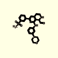 CS(=O)(=O)c1cccc(-c2cc3c(c(Nc4cccc(N5CCOCC5)c4)n2)C(C=O)NC=C3)c1